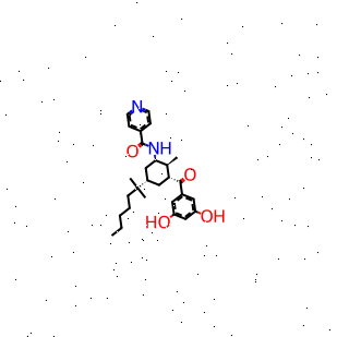 CCCCCC(C)(C)[C@@H]1C[C@@H](NC(=O)c2ccncc2)[C@@H](C)[C@H](C(=O)c2cc(O)cc(O)c2)C1